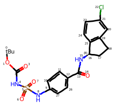 CC(C)(C)OC(=O)NS(=O)(=O)Nc1ccc(C(=O)N[C@@H]2CCc3cc(Cl)ccc32)cc1